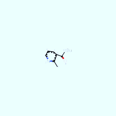 Cc1ncccc1C(=O)C(C)(C)C